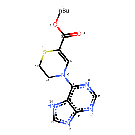 CCCCOC(=O)C1=CN(c2ncnc3nc[nH]c23)CCS1